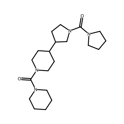 O=C(N1CCCCC1)N1CCC(C2CCN(C(=O)N3CCCC3)C2)CC1